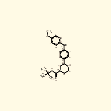 CSc1cnc(Nc2ccc(C3CN(C(=O)OC(C)(C)C)CCO3)cc2)nc1